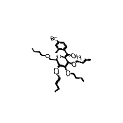 CCCCOCC1OC([C@H](O)c2ccc(Br)cc2C)C(OCCCC)C(OCCCC)C1OCCCC